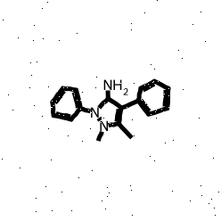 CC1=C(c2ccccc2)C(N)N(c2ccccc2)N1C